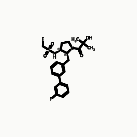 CC(C)(O)C(=O)N1CC[C@H](NS(=O)(=O)CF)[C@@H]1Cc1cccc(-c2cccc(F)c2)c1